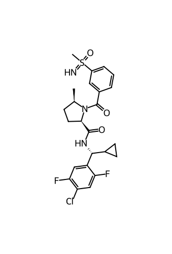 C[C@@H]1CC[C@H](C(=O)N[C@@H](c2cc(F)c(Cl)cc2F)C2CC2)N1C(=O)c1cccc(S(C)(=N)=O)c1